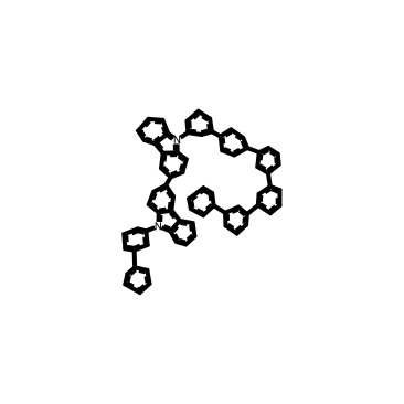 c1ccc(-c2cccc(-c3cccc(-c4cccc(-c5ccc(-c6cccc(-n7c8ccccc8c8cc(-c9ccc%10c(c9)c9ccccc9n%10-c9cccc(-c%10ccccc%10)c9)ccc87)c6)cc5)c4)c3)c2)cc1